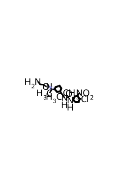 C/C(=N\OCCN)c1cccc(C(C)(C)NC(=O)Nc2ccc(Cl)c([N+](=O)[O-])c2)c1